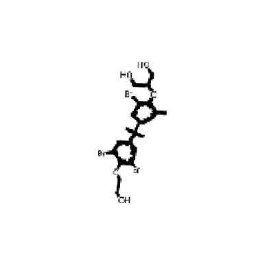 Cc1cc(C(C)(C)c2cc(Br)c(OCCO)c(Br)c2)cc(Br)c1OC(CO)CO